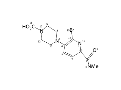 CNC(=O)c1ccc(N2CCN(C(=O)O)CC2)c(Br)n1